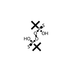 CC(C)(C)P(O)(=S)OOP(O)(=S)C(C)(C)C